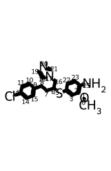 COc1cc(SC(CCc2ccc(Cl)cc2)Cn2ccnc2)ccc1N